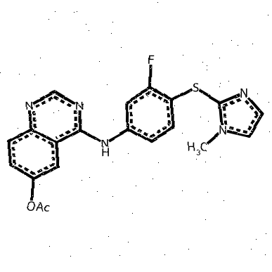 CC(=O)Oc1ccc2ncnc(Nc3ccc(Sc4nccn4C)c(F)c3)c2c1